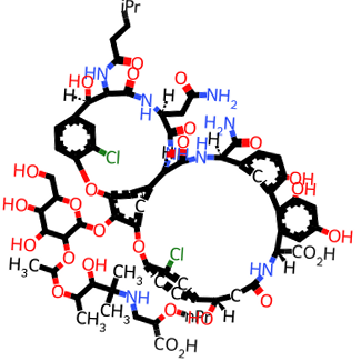 CCCOC(CNC(C)(C)C(O)C(C)OC(C)OC1C(Oc2c3cc4cc2Oc2ccc(cc2Cl)[C@@H](O)CC(=O)N[C@@H](C(=O)O)c2cc(O)cc(O)c2-c2cc(ccc2O)[C@H](C(N)=O)NC(=O)[C@@H]4NC(=O)[C@H](CC(N)=O)NC(=O)C(NC(=O)CCC(C)C)[C@H](O)c2ccc(c(Cl)c2)O3)OC(CO)C(O)C1O)C(=O)O